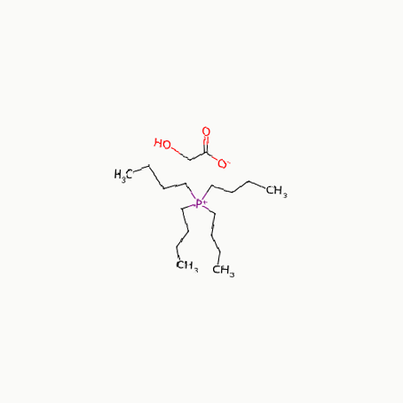 CCCC[P+](CCCC)(CCCC)CCCC.O=C([O-])CO